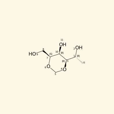 C[C@@H](O)[C@H]1OCO[C@@H](CO)[C@H]1O